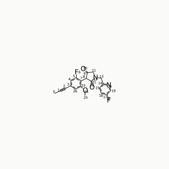 CC#Cc1cc(F)c(C2C(=O)CN(Cc3ccc(F)cn3)C2=O)c(OC)c1